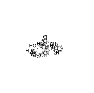 C[C@@H](COc1ccnc2c1[C@H](C)CCC2)CC1Cc2ccc(OCCc3cnn(C)c3)cc2C12CCC(Nc1cccc(Cl)c1)(C(=O)O)CC2